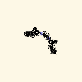 COc1cc(/C=C/C(=O)CC(=O)/C=C/c2ccc(OC(=O)N3CCN(C)CC3)c(OC)c2)ccc1OC(=O)N1CCOCC1